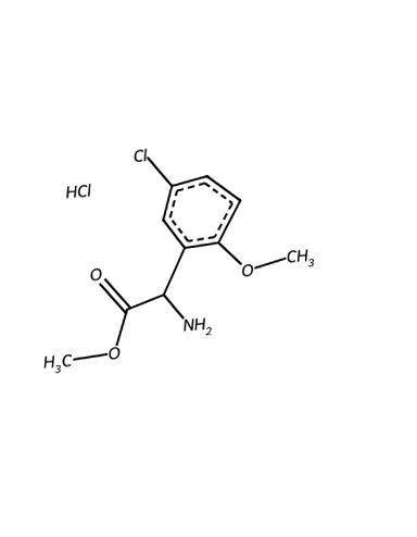 COC(=O)C(N)c1cc(Cl)ccc1OC.Cl